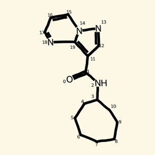 O=C(NC1CCCCCCC1)c1cnn2cccnc12